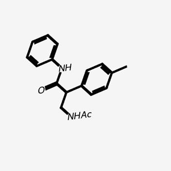 CC(=O)NCC(C(=O)Nc1ccccc1)c1ccc(C)cc1